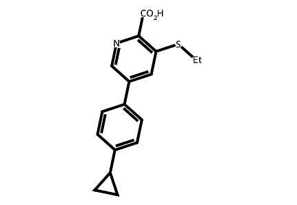 CCSc1cc(-c2ccc(C3CC3)cc2)cnc1C(=O)O